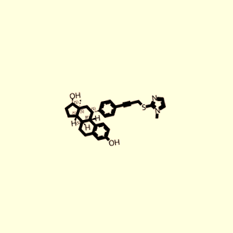 Cn1ccnc1SCC#Cc1ccc([C@H]2C[C@]3(C)[C@@H](O)CC[C@H]3[C@@H]3CCc4cc(O)ccc4[C@H]32)cc1